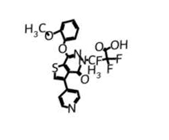 COc1ccccc1Oc1nn(C)c(=O)c2c(-c3ccncc3)csc12.O=C(O)C(F)(F)F